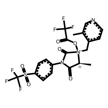 Cc1cnccc1C[N+]1(OC(=O)C(F)(F)F)C(=O)N(c2ccc(S(=O)(=O)C(F)(F)F)cc2)C(=O)[C@@H]1C